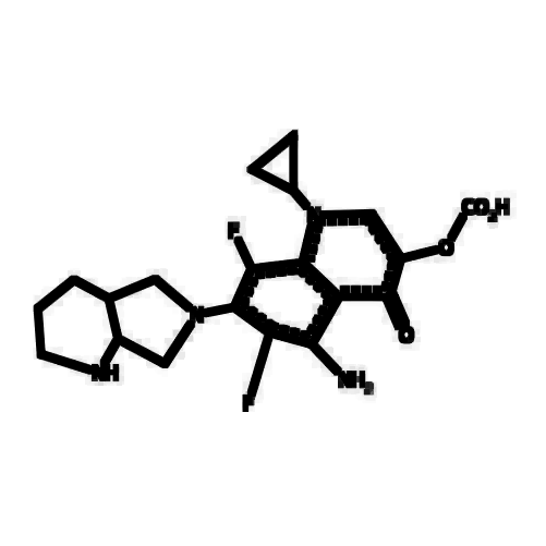 Nc1c(F)c(N2CC3CCCNC3C2)c(F)c2c1c(=O)c(OC(=O)O)cn2C1CC1